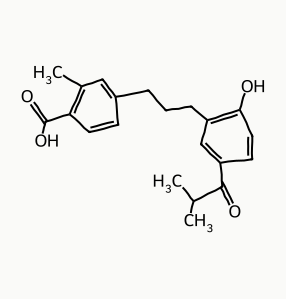 Cc1cc(CCCc2cc(C(=O)C(C)C)ccc2O)ccc1C(=O)O